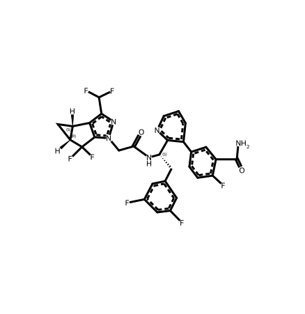 NC(=O)c1cc(-c2cccnc2[C@H](Cc2cc(F)cc(F)c2)NC(=O)Cn2nc(C(F)F)c3c2C(F)(F)[C@@H]2C[C@H]32)ccc1F